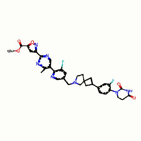 Cc1nc(-c2cc(C(=O)OC(C)(C)C)on2)ncc1-c1ncc(CN2CCC3(CC(c4ccc(N5CCC(=O)NC5=O)c(F)c4)C3)C2)cc1F